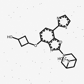 O=C(O)N1C2CC1CN(c1nc3c(OC4CC(O)C4)ccc(-c4nccs4)c3o1)C2